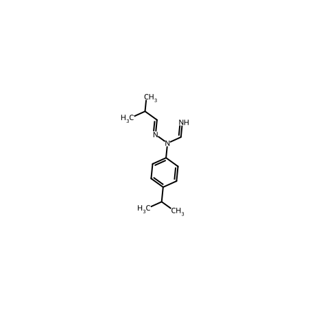 CC(C)/C=N/N(C=N)c1ccc(C(C)C)cc1